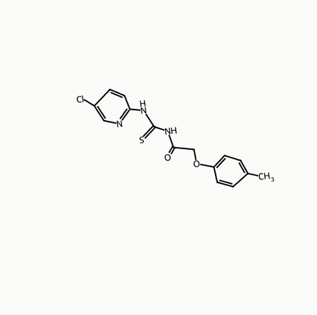 Cc1ccc(OCC(=O)NC(=S)Nc2ccc(Cl)cn2)cc1